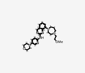 COCCN1CCCN(c2cccc3cnc(Nc4ccc(N5CCOCC5)cn4)nc23)CC1